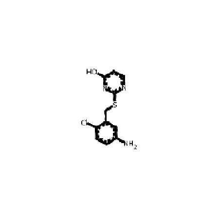 Nc1ccc(Cl)c(CSc2nccc(O)n2)c1